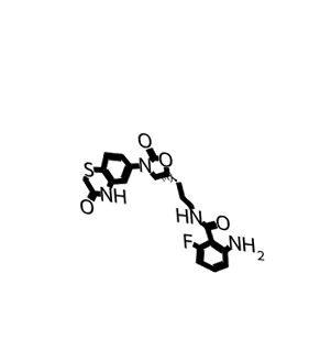 Nc1cccc(F)c1C(=O)NCCC[C@@H]1CN(c2ccc3c(c2)NC(=O)CS3)C(=O)O1